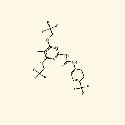 Cc1c(OCC(F)(F)F)nc(NC(=O)NC2=CN=C(C(F)(F)F)CC2)nc1OCC(F)(F)F